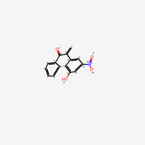 C=C(C(=O)c1ccccc1)c1cc(O)cc([N+](=O)[O-])c1